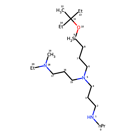 CCCNCCCN(CCC[SiH2]OC(C)(CC)CC)CCCN(C)CC